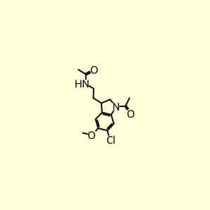 COc1cc2c(cc1Cl)N(C(C)=O)CC2CCNC(C)=O